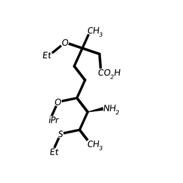 CCOC(C)(CCC(OC(C)C)[C@@H](N)C(C)SCC)CC(=O)O